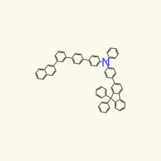 c1ccc(N(c2ccc(-c3ccc(-c4cccc(-c5ccc6ccccc6c5)c4)cc3)cc2)c2ccc(-c3ccc4c(c3)C(c3ccccc3)(c3ccccc3)c3ccccc3-4)cc2)cc1